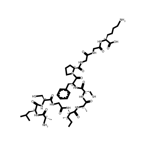 CC[C@H](C)[C@H](NC(=O)CNC(=O)[C@H](CS)NC(=O)[C@H](CC(C)C)NC(=O)[C@H](C)N)C(=O)N[C@@H](C)C(=O)N[C@@H](CS)C(=O)N[C@@H](Cc1ccccc1)C(=O)N1CCC[C@H]1C(=O)NCC(=O)NCC(=O)N[C@@H](CCCCN)C(=O)O